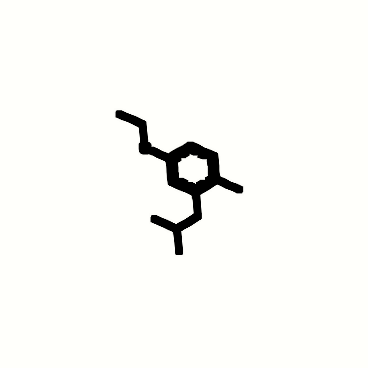 CCOc1ccc(C)c(CC(C)C)c1